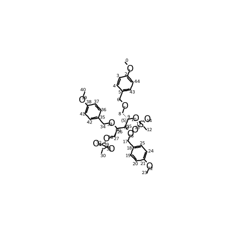 COc1ccc(COC[C@H](OS(C)(=O)=O)[C@@H](OCc2ccc(OC)cc2)[C@@H](COS(C)(=O)=O)OCc2ccc(OC)cc2)cc1